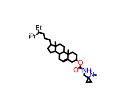 CCC(CCCC1CCC2C3CC=C4CC(OC(=O)NCC5(N(C)C)CC5)CCC4(C)C3CCC12C)C(C)C